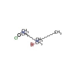 CCCCCCCCCCCCCC[N+](C)(C)CCCCCCCCCC[N+](C)(C)Cc1ccc(Cl)cc1.[Br-].[Br-]